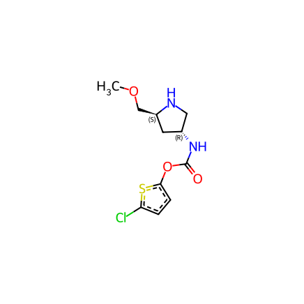 COC[C@@H]1C[C@@H](NC(=O)Oc2ccc(Cl)s2)CN1